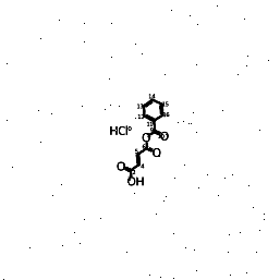 Cl.O=C(O)C=CC(=O)OC(=O)c1ccccc1